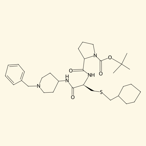 CC(C)(C)OC(=O)N1CCCC1C(=O)N[C@@H](CSCC1CCCCC1)C(=O)NC1CCN(Cc2ccccc2)CC1